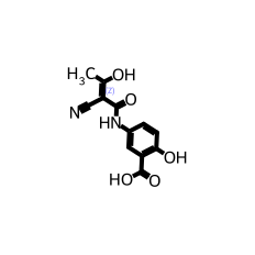 C/C(O)=C(\C#N)C(=O)Nc1ccc(O)c(C(=O)O)c1